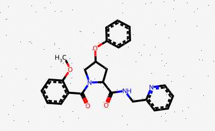 COc1ccccc1C(=O)N1CC(Oc2ccccc2)CC1C(=O)NCc1ccccn1